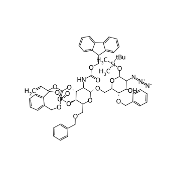 C=CCOC(=O)O[C@@H]1C(NC(=O)OCC2c3ccccc3-c3ccccc32)[C@H](OCC2OC(O[Si](C)(C)C(C)(C)C)C(N=[N+]=[N-])[C@@H](O)[C@@H]2OCc2ccccc2)OC(COCc2ccccc2)[C@H]1OP1(=O)OCc2ccccc2CO1